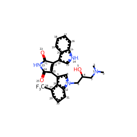 CN(C)CC(O)Cn1cc(C2=C(c3c[nH]c4ccccc34)C(=O)NC2=O)c2c(C(F)(F)F)cccc21